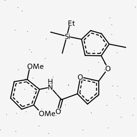 CC[Si](C)(C)c1ccc(C)c(Oc2ccc(C(=O)Nc3c(OC)cccc3OC)o2)c1